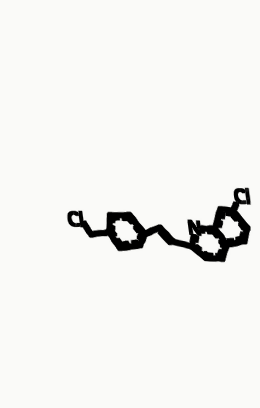 ClCc1ccc(C=Cc2ccc3ccc(Cl)cc3n2)cc1